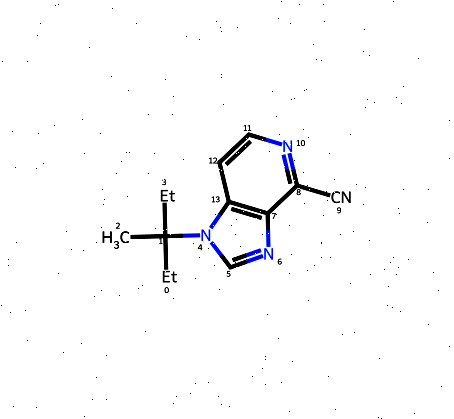 CCC(C)(CC)n1cnc2c(C#N)nccc21